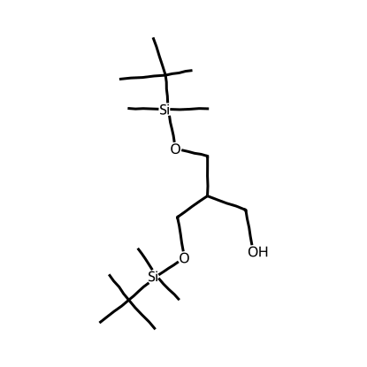 CC(C)(C)[Si](C)(C)OCC(CO)CO[Si](C)(C)C(C)(C)C